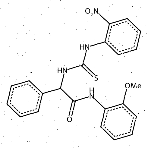 COc1ccccc1NC(=O)C(NC(=S)Nc1ccccc1[N+](=O)[O-])c1ccccc1